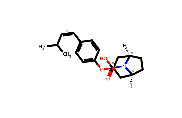 CC(C)/C=C\c1ccc(O[C@H]2C[C@H]3CC[C@@H](C2)N3C(=O)O)cc1